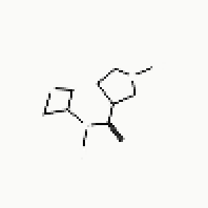 CN1CCC(C(=O)N(C)C2COC2)C1